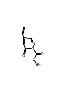 C=Cc1cnn(C(=O)OC(C)(C)C)c(=O)c1